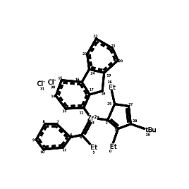 CCC1=[C](/[Zr+2](=[C](\CC)c2ccccc2)[c]2cccc3c2Cc2ccccc2-3)C(CC)C=C1C(C)(C)C.[Cl-].[Cl-]